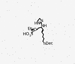 CCCCCCCCCCCCCCC=CC(CCO)NC1=NCCN1.CCOS(=O)(=O)O